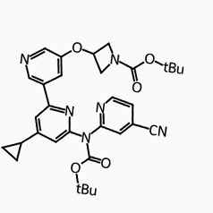 CC(C)(C)OC(=O)N1CC(Oc2cncc(-c3cc(C4CC4)cc(N(C(=O)OC(C)(C)C)c4cc(C#N)ccn4)n3)c2)C1